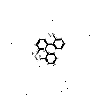 Nc1ccccc1-c1cccc(P)c1-c1ccccc1N